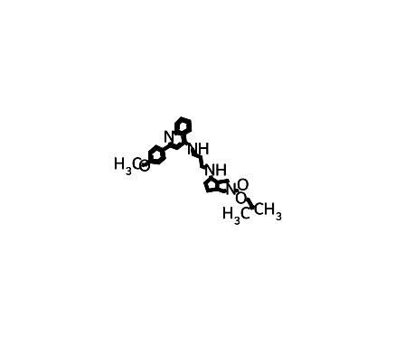 COc1ccc(-c2cc(NCCCNC3CCC4CN(C(=O)OCC(C)C)CC43)c3ccccc3n2)cc1